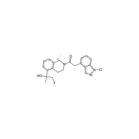 C[C@H]1c2cccc(C(C)(O)CF)c2CCN1C(=O)Cc1cccc2c1cnn2Cl